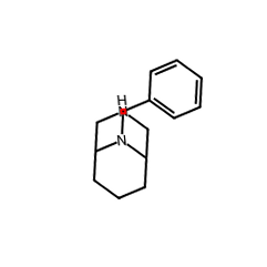 c1ccc(CN2C3CCCC2CNC3)cc1